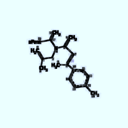 C=C(C)CN(C(=C)/C=C(\C)c1ccc(C)cc1)C(=C)CCCCC